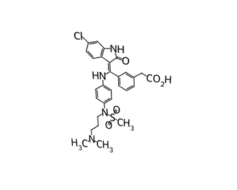 CN(C)CCCN(c1ccc(NC(=C2C(=O)Nc3cc(Cl)ccc32)c2cccc(CC(=O)O)c2)cc1)S(C)(=O)=O